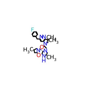 CC1CC(=O)N(C[C@H]2CN[C@H](C)CN2CC(=O)N2CC(C)(C)c3nnc(Cc4ccc(F)cc4)cc32)C1